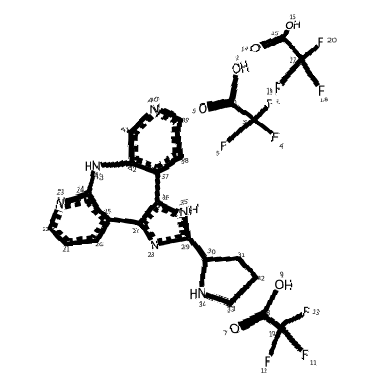 O=C(O)C(F)(F)F.O=C(O)C(F)(F)F.O=C(O)C(F)(F)F.c1cnc2c(c1)-c1nc(C3CCCN3)[nH]c1-c1ccncc1N2